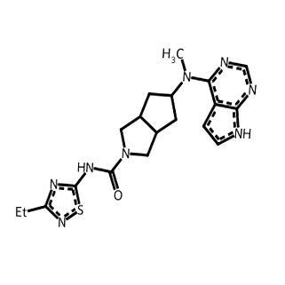 CCc1nsc(NC(=O)N2CC3CC(N(C)c4ncnc5[nH]ccc45)CC3C2)n1